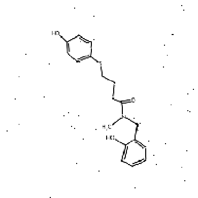 CN(Cc1ccccc1O)C(=O)CCCSc1ccc(O)cc1